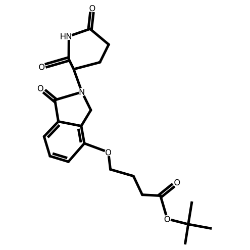 CC(C)(C)OC(=O)CCCOc1cccc2c1CN(C1CCC(=O)NC1=O)C2=O